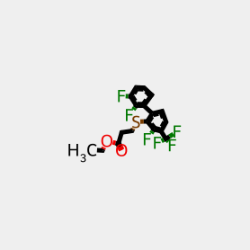 CCOC(=O)CCSc1c(-c2cccc(F)c2F)ccc(C(F)(F)F)c1F